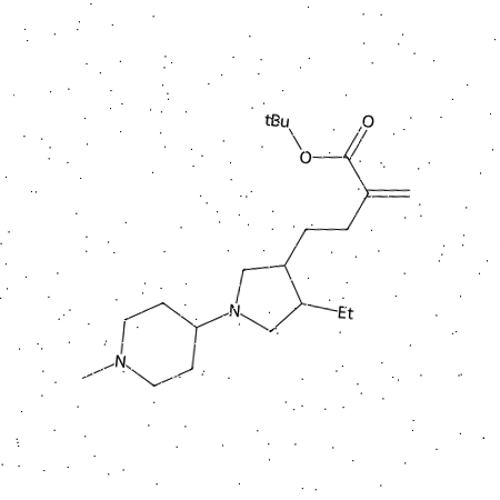 C=C(CCC1CN(C2CCN(C)CC2)CC1CC)C(=O)OC(C)(C)C